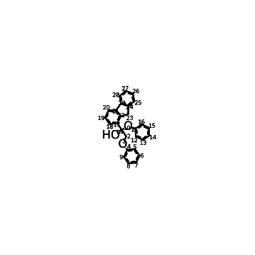 OC(COc1ccccc1)(Oc1ccccc1)c1cccc2c1Cc1ccccc1-2